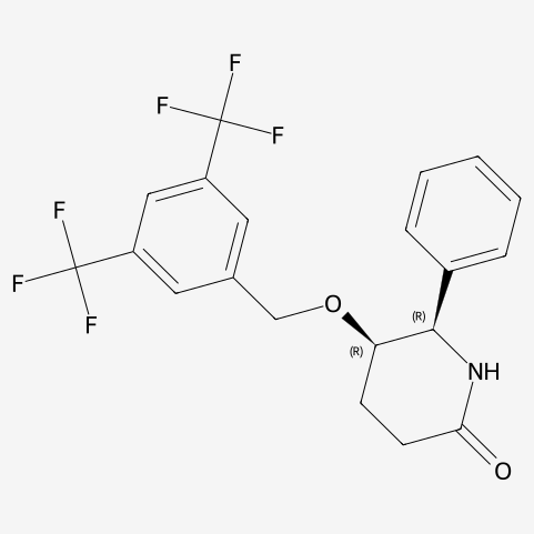 O=C1CC[C@@H](OCc2cc(C(F)(F)F)cc(C(F)(F)F)c2)[C@@H](c2ccccc2)N1